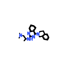 CC(CN(C)C)Nc1nc(N2CCc3ccccc3C2)c2ccccc2n1